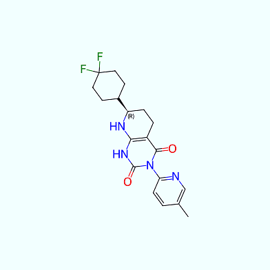 Cc1ccc(-n2c(=O)[nH]c3c(c2=O)CC[C@H](C2CCC(F)(F)CC2)N3)nc1